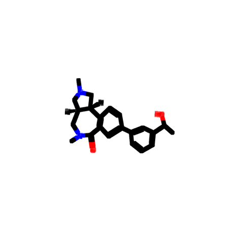 CC(O)c1cccc(-c2ccc3c(c2)C(=O)N(C)C[C@H]2CN(C)C[C@H]32)c1